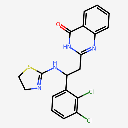 O=c1[nH]c(CC(NC2=NCCS2)c2cccc(Cl)c2Cl)nc2ccccc12